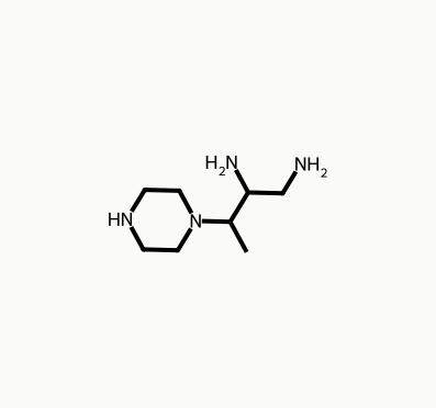 CC(C(N)CN)N1CCNCC1